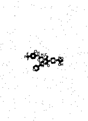 CCc1c(N2CCN(c3nocc3O)CC2)c(=O)n2nc(C3=CCOCC3)nc2n1CC(=O)Nc1ccc(C(F)(F)F)cc1Cl